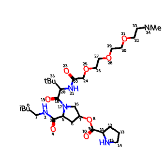 CCC(C)CNC(=O)C1CC(OC(=O)C2CCCN2)CN1C(=O)C(NC(=O)COCCOCCOCCNC)C(C)(C)C